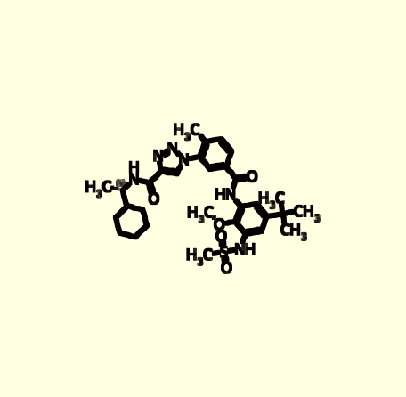 COc1c(NC(=O)c2ccc(C)c(-n3cc(C(=O)N[C@@H](C)C4CCCCC4)nn3)c2)cc(C(C)(C)C)cc1NS(C)(=O)=O